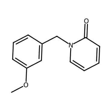 COc1cccc(Cn2ccccc2=O)c1